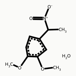 COc1ccc(C(C)[N+](=O)[O-])cc1OC.O